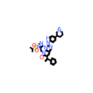 C=C(c1ccccc1)c1cc2cnc(Nc3ccc(C4CCCN(C)C4)cc3)nc2n(Cc2cncn2S(=O)(=O)C(C)C)c1=O